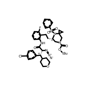 CC(C)(C)OC(=O)N1C[C@H](CCc2c(F)cccc2NC(=O)C(N=[N+]=[N-])[C@@H](c2ccc(Cl)cc2)C2CCOCC2)N(S(=O)(=O)c2ccccc2)C2(CC2)C1